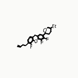 C=CCCc1ccc2c(c1F)Oc1c(cc(C3CCC(CC)CO3)c(F)c1F)C2